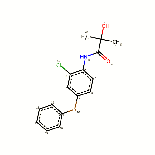 CC(O)(C(=O)Nc1ccc(Sc2ccccc2)cc1Cl)C(F)(F)F